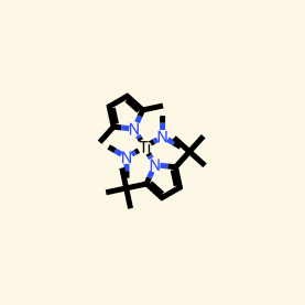 Cc1ccc(C)[n]1[Ti]([N](C)C)([N](C)C)[n]1c(C(C)(C)C)ccc1C(C)(C)C